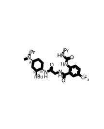 CCCC[C@H]1C[C@H](N(C)C(C)C)CC[C@@H]1NC(=O)CNC(=O)c1cc(C(F)(F)F)ccc1NC(=O)NC(C)C